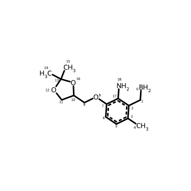 BCc1c(C)ccc(OCC2COC(C)(C)O2)c1N